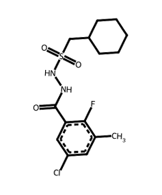 Cc1cc(Cl)cc(C(=O)NNS(=O)(=O)CC2CCCCC2)c1F